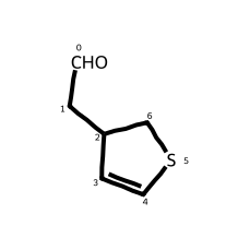 O=CCC1C=CSC1